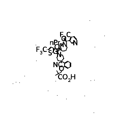 CCC[C@H]1N(C(=O)c2cnccc2C(F)(F)F)CCC[C@@]1(Oc1csc(C(F)(F)F)c1)C(=O)N1CCC(C#N)(c2ccccc2OCC(C)(C)C(=O)O)CC1